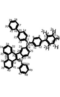 [2H]c1c([2H])c([2H])c(-c2ccc(N(c3ccc(-c4ccccc4)cc3)c3ccc4c(c3)c3c5ccccc5c5ccccc5c3n4-c3ccccc3)cc2)c([2H])c1[2H]